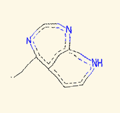 [CH2]c1ncnc2[nH]ccc12